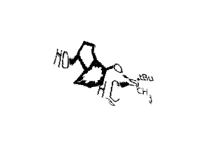 CC(C)(C)[Si](C)(C)Oc1cccc2c1CCC2O